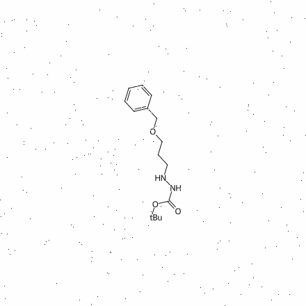 CC(C)(C)OC(=O)NNCCCOCc1ccccc1